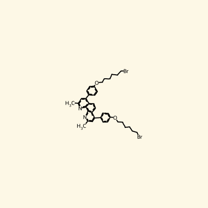 Cc1cc(-c2ccc(OCCCCCCBr)cc2)c2ccc3c(-c4ccc(OCCCCCCBr)cc4)cc(C)nc3c2n1